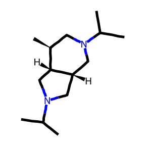 CC(C)N1C[C@H]2CN(C(C)C)C[C@H](C)[C@H]2C1